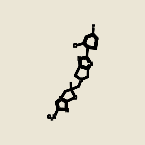 CC1(CN2Cc3nc(-c4ccc(F)cc4Cl)sc3C2)Cn2cc([N+](=O)[O-])nc2O1